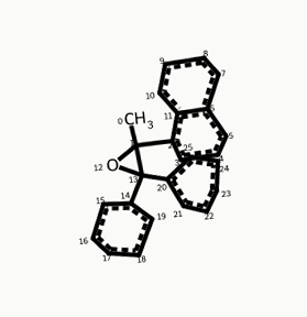 CC1(c2cccc3ccccc23)OC1(c1ccccc1)c1ccccc1